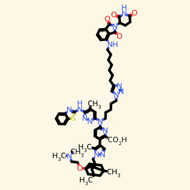 Cc1cc(N(CCCCCn2cc(CCCCCCCNc3cccc4c3C(=O)N(C3CCC(=O)NC3=O)C4=O)nn2)c2ccc(-c3cnn(CC45CC6(C)CC(C)(C4)CC(OCCN(C)C)(C6)C5)c3C)c(C(=O)O)n2)nnc1Nc1nc2ccccc2s1